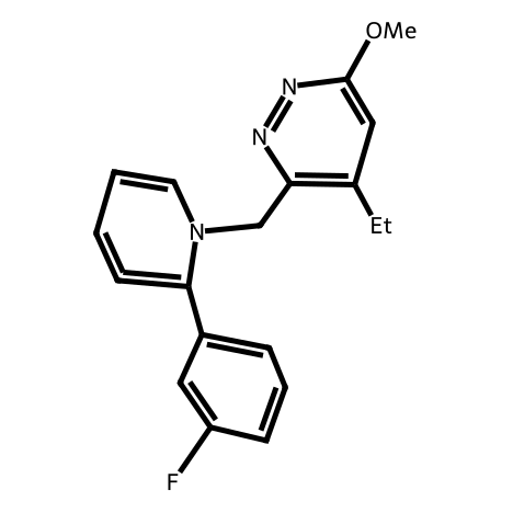 CCc1cc(OC)nnc1CN1C=CC=C=C1c1cccc(F)c1